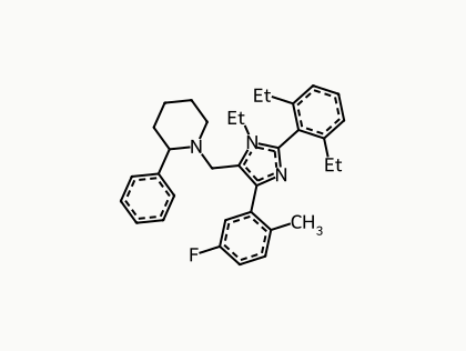 CCc1cccc(CC)c1-c1nc(-c2cc(F)ccc2C)c(CN2CCCCC2c2ccccc2)n1CC